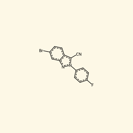 N#Cc1c2ccc(Br)cc2nn1-c1ccc(F)cc1